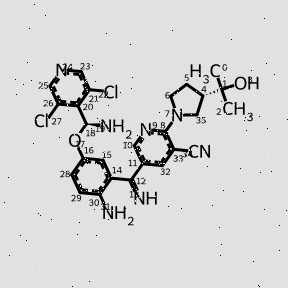 CC(C)(O)[C@H]1CCN(c2ncc(C(=N)c3cc(O[C@H](N)c4c(Cl)cncc4Cl)ccc3N)cc2C#N)C1